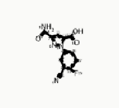 N#Cc1cc(-n2nc(C(N)=O)cc2C(=O)O)ccc1F